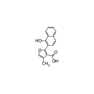 Cc1coc(-c2ccc3ccccc3c2O)c1C(=O)O